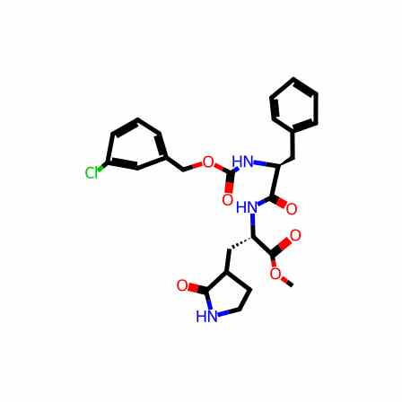 COC(=O)[C@H](CC1CCNC1=O)NC(=O)[C@H](Cc1ccccc1)NC(=O)OCc1cccc(Cl)c1